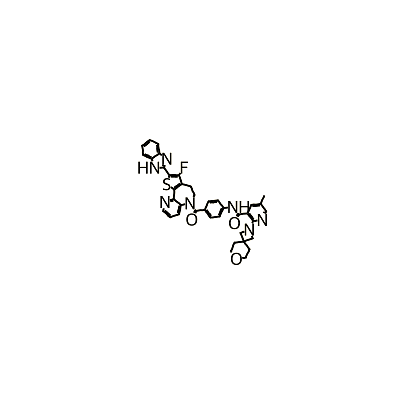 Cc1cnc(N2CC3(CCOCC3)C2)c(C(=O)Nc2ccc(C(=O)N3CCc4c(sc(-c5nc6ccccc6[nH]5)c4F)-c4ncccc43)cc2)c1